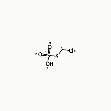 O=S(=O)(O)SCCl